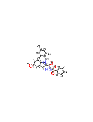 COc1ccc2c(c1)cc(C(=O)NS(=O)(=O)c1ccccc1)n2Cc1c(C)cc(C)cc1C